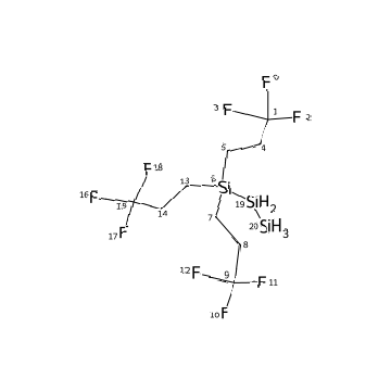 FC(F)(F)CC[Si](CCC(F)(F)F)(CCC(F)(F)F)[SiH2][SiH3]